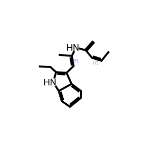 C=C(/C=C\C)N/C(C)=C/c1c(CC)[nH]c2ccccc12